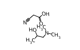 CC(O)CN(C)C.N#CCC(=O)O